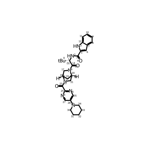 CC(C)(C)[C@H](NC(=O)c1cc2ccccc2[nH]1)C(=O)N1C[C@@H]2C[C@H]1CN2C(=O)c1ncc(N2CCCCC2)cn1